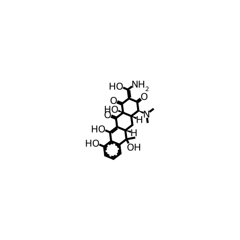 CN(C)[C@@H]1C(=O)/C(=C(\N)O)C(=O)[C@@]2(O)C(=O)C3=C(O)c4c(O)cccc4C(C)(O)[C@H]3C[C@@H]12